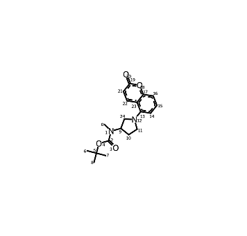 CN(C(=O)OC(C)(C)C)C1CCN(c2cccc3oc(=O)ccc23)C1